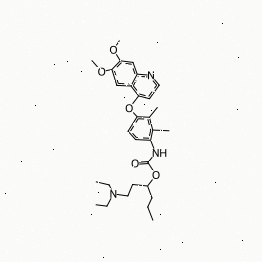 CCCC(CCN(CC)CC)OC(=O)Nc1ccc(Oc2ccnc3cc(OC)c(OC)cc23)c(C)c1C